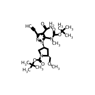 C#Cc1nn([C@H]2C[C@H](COC)N(C(=O)OC(C)(C)C)C2)c(N(C)C(=O)OC(C)(C)C)c1C(N)=O